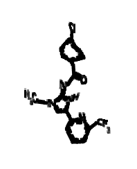 Cn1cc(-c2cccc(C(F)(F)F)n2)[nH]/c1=N\C(=O)c1ccc(Cl)cc1